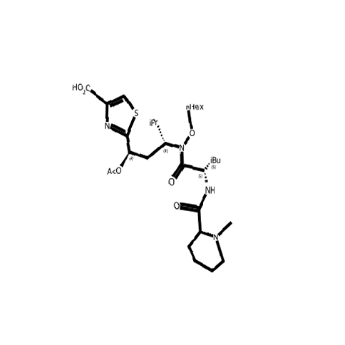 CCCCCCON(C(=O)[C@@H](NC(=O)C1CCCCN1C)[C@@H](C)CC)[C@H](C[C@@H](OC(C)=O)c1nc(C(=O)O)cs1)C(C)C